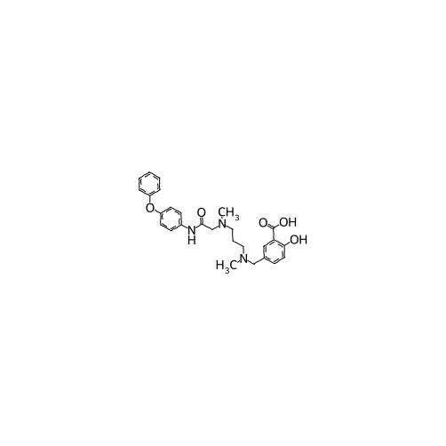 CN(CCCN(C)Cc1ccc(O)c(C(=O)O)c1)CC(=O)Nc1ccc(Oc2ccccc2)cc1